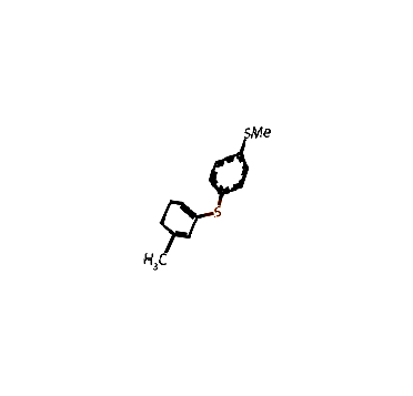 CSc1ccc(SC2=CCCC(C)=C2)cc1